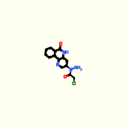 NN(C(=O)CCl)c1cnc2c(c1)[nH]c(=O)c1ccccc12